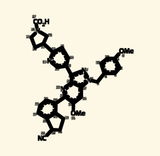 COc1ccc(Cn2nc(-c3ccc(C4CCN(C(=O)O)C4)nc3)c3nc(-c4cccc5c4CCC5C#N)c(OC)cc32)cc1